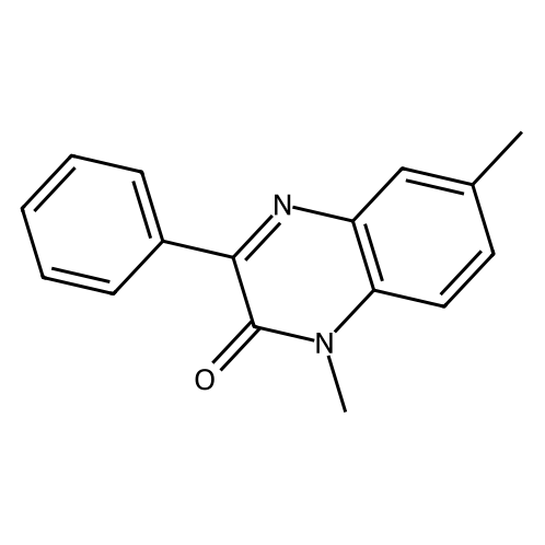 Cc1ccc2c(c1)nc(-c1ccccc1)c(=O)n2C